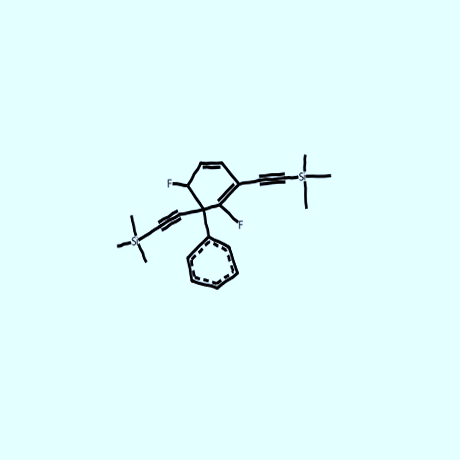 C[Si](C)(C)C#CC1=C(F)C(C#C[Si](C)(C)C)(c2ccccc2)C(F)C=C1